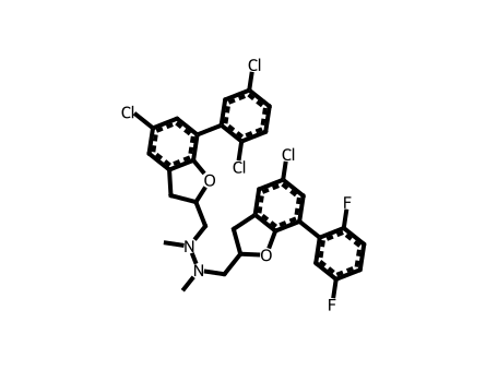 CN(CC1Cc2cc(Cl)cc(-c3cc(F)ccc3F)c2O1)N(C)CC1Cc2cc(Cl)cc(-c3cc(Cl)ccc3Cl)c2O1